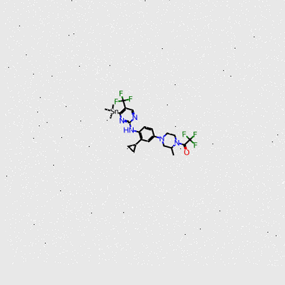 CC1CN(c2ccc(Nc3ncc(C(F)(F)F)[c]([Sn]([CH3])([CH3])[CH3])n3)c(C3CC3)c2)CCN1C(=O)C(F)(F)F